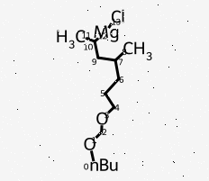 CCCCOCOCCCC(C)C[CH](C)[Mg][Cl]